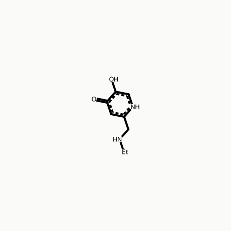 CCNCc1cc(=O)c(O)c[nH]1